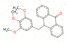 COc1cc(CC2c3ccccc3C(=O)c3ccccc32)cc(OC)c1OC